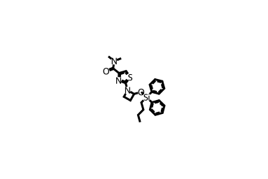 CCCC[Si](OC1CCN1c1nc(C(=O)N(C)C)cs1)(c1ccccc1)c1ccccc1